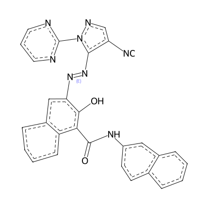 [C-]#[N+]c1cnn(-c2ncccn2)c1/N=N/c1cc2ccccc2c(C(=O)Nc2ccc3ccccc3c2)c1O